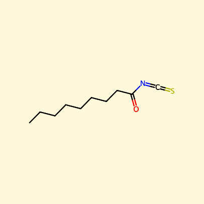 CCCCCCCCC(=O)N=C=S